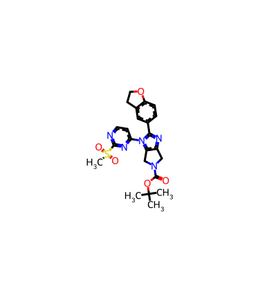 CC(C)(C)OC(=O)N1Cc2nc(-c3ccc4c(c3)CCO4)n(-c3ccnc(S(C)(=O)=O)n3)c2C1